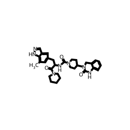 Cc1cc(CC(NC(=O)N2CCC(N3Cc4ccccc4NC3=O)CC2)C(=O)N2CCCCC2)cc2cn[nH]c12